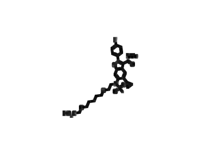 CNC(=O)c1c(-c2ccc(F)cc2)oc2cc(N(CCOCCCCCOCC(=O)O)S(C)(=O)=O)c(C3CC3)cc12